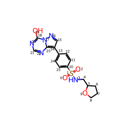 O=S(=O)(NCC1CCCO1)c1ccc(-c2cnn3c(O)ncnc23)cc1